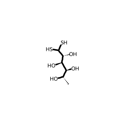 C[C@H](O)[C@H](O)[C@@H](O)[C@@H](O)C(S)S